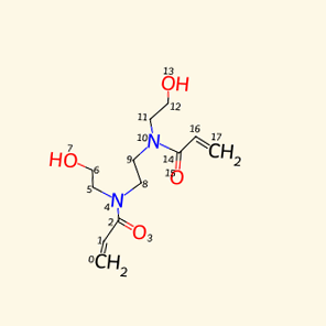 C=CC(=O)N(CCO)CCN(CCO)C(=O)C=C